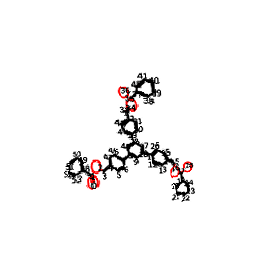 O=C(OCc1ccc(-c2cc(-c3ccc(COC(=O)c4ccccc4)cc3)cc(-c3ccc(COC(=O)c4ccccc4)cc3)c2)cc1)c1ccccc1